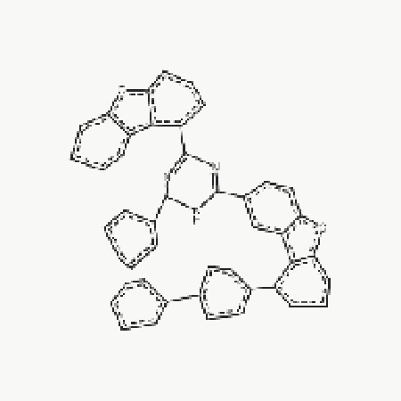 c1ccc(-c2ccc(-c3cccc4oc5ccc(C6=NC(c7cccc8oc9ccccc9c78)=NC(c7ccccc7)N6)cc5c34)cc2)cc1